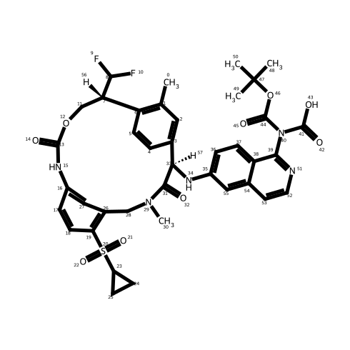 Cc1cc2ccc1[C@@H](C(F)F)COC(=O)Nc1ccc(S(=O)(=O)C3CC3)c(c1)CN(C)C(=O)[C@@H]2Nc1ccc2c(N(C(=O)O)C(=O)OC(C)(C)C)nccc2c1